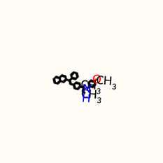 CCC(C)(Nc1ccc(OC)cc1)c1ccc(C=C(c2ccccc2)c2ccc3ccccc3c2)cc1